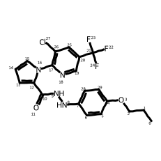 CCCOc1ccc(NNC(=O)c2cccn2-c2ncc(C(F)(F)F)cc2Cl)cc1